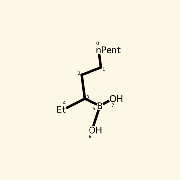 CCCCCCCC(CC)B(O)O